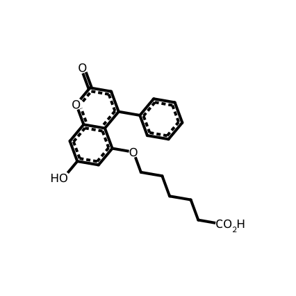 O=C(O)CCCCCOc1cc(O)cc2oc(=O)cc(-c3ccccc3)c12